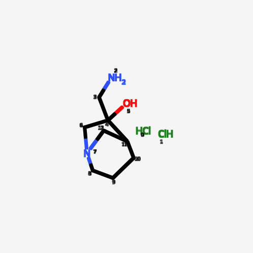 Cl.Cl.NCC1(O)CN2CCCC1C2